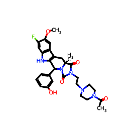 COc1cc2c3c([nH]c2cc1F)C(c1cccc(O)c1)N1C(=O)N(CCN2CCN(C(C)=O)CC2)C(=O)C1(C)C3